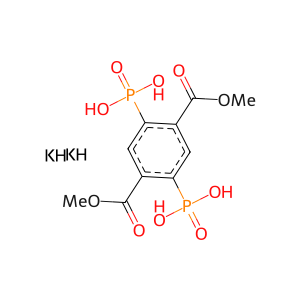 COC(=O)c1cc(P(=O)(O)O)c(C(=O)OC)cc1P(=O)(O)O.[KH].[KH]